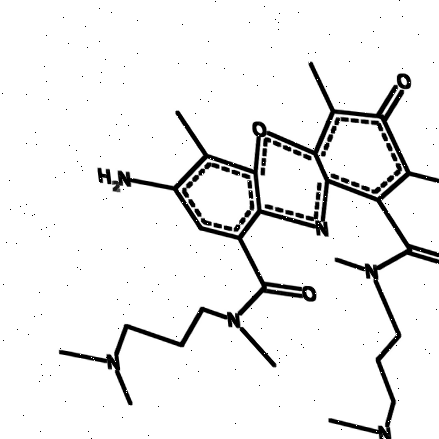 Cc1c2oc3c(C)c(N)cc(C(=O)N(C)CCCN(C)C)c3nc-2c(C(=O)N(C)CCCN(C)C)c(C)c1=O